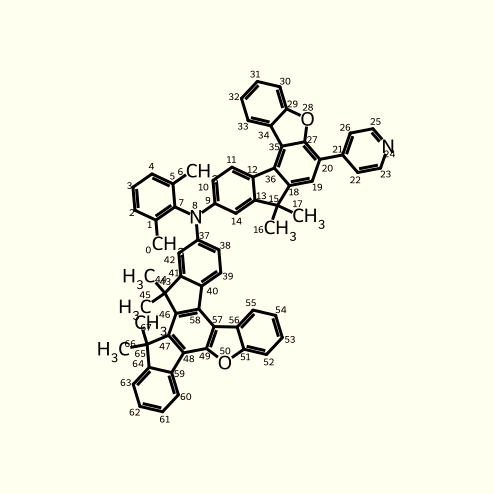 Cc1cccc(C)c1N(c1ccc2c(c1)C(C)(C)c1cc(-c3ccncc3)c3oc4ccccc4c3c1-2)c1ccc2c(c1)C(C)(C)c1c3c(c4oc5ccccc5c4c1-2)-c1ccccc1C3(C)C